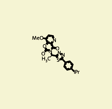 COc1ccnc2c(=O)n([C@@H](C)c3nnc(-c4ccc(C(C)C)cc4)s3)c(=O)oc12